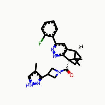 Cc1c[nH]nc1C1CN(C(=O)[C@]23CC[C@H](c4cc(-c5ccccc5F)nnc42)C3(C)C)C1